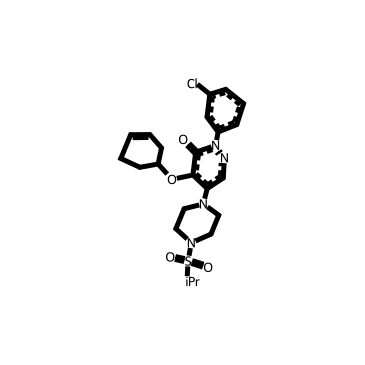 CC(C)S(=O)(=O)N1CCN(c2cnn(-c3cccc(Cl)c3)c(=O)c2OC2CC=CCC2)CC1